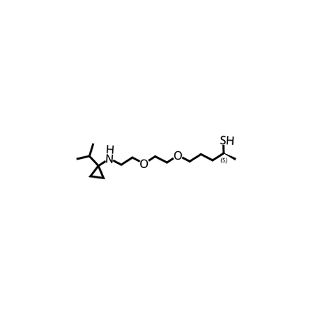 CC(C)C1(NCCOCCOCCC[C@H](C)S)CC1